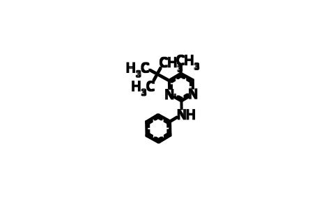 Cc1cnc(Nc2ccccc2)nc1C(C)(C)C